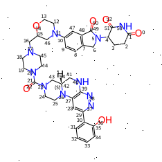 O=C1CCC(N2Cc3ccc(N4CCOC(CN5CCN(C(=O)N6CCN7c8cc(-c9ccccc9O)nnc8NC[C@H]7C6)CC5)C4)cc3C2=O)C(=O)N1